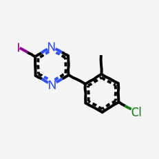 Cc1cc(Cl)ccc1-c1cnc(I)cn1